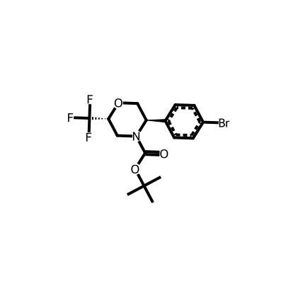 CC(C)(C)OC(=O)N1C[C@H](C(F)(F)F)OC[C@H]1c1ccc(Br)cc1